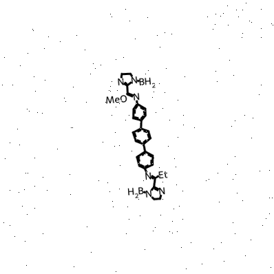 BN1CCN=C1/C(=N/c1ccc(-c2ccc(-c3ccc(/N=C(\CC)C4=NCCN4B)cc3)cc2)cc1)OC